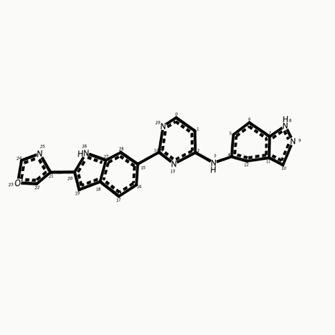 c1cc(Nc2ccc3[nH]ncc3c2)nc(-c2ccc3cc(-c4cocn4)[nH]c3c2)n1